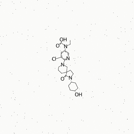 CCN(C(=O)O)c1cnc(N2CCCC3(CCN([C@H]4CC[C@@H](O)CC4)C3=O)C2)c(Cl)c1